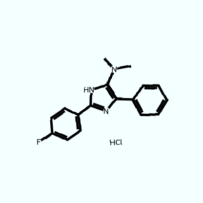 CN(C)c1[nH]c(-c2ccc(F)cc2)nc1-c1ccccc1.Cl